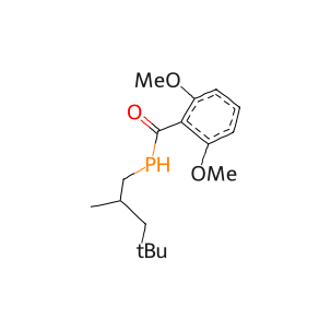 COc1cccc(OC)c1C(=O)PCC(C)CC(C)(C)C